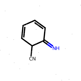 N#CC1C=CC=CC1=N